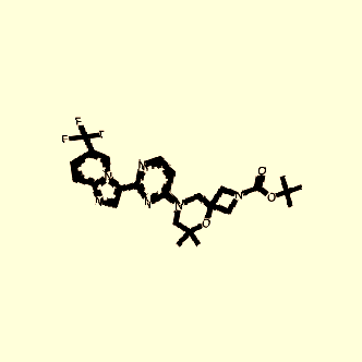 CC(C)(C)OC(=O)N1CC2(C1)CN(c1ccnc(-c3cnc4ccc(C(F)(F)F)cn34)n1)CC(C)(C)O2